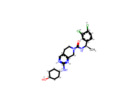 C[C@@H](NC(=O)N1CCc2cnc(N[C@H]3CC[C@H](O)CC3)nc2C1)c1ccc(Cl)c(Cl)c1